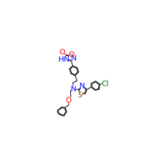 O=c1[nH]c(-c2ccc(CCN(CCOCc3ccccc3)c3nc(-c4ccc(Cl)cc4)cs3)cc2)no1